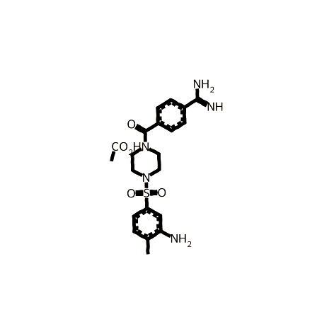 CC(=O)O.Cc1ccc(S(=O)(=O)N2CCN(C(=O)c3ccc(C(=N)N)cc3)CC2)cc1N